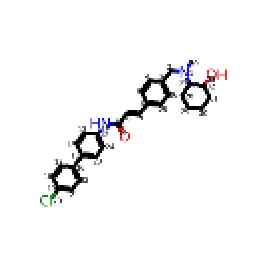 CN(Cc1ccc(/C=C/C(=O)Nc2ccc(-c3ccc(Cl)cc3)cc2)cc1)C1CCCCC1O